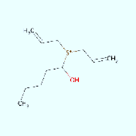 C=CC[S+](CC=C)C(O)CCCC